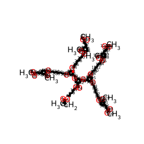 C=C(C)C(=O)OCCCCCCOC(=O)c1cc(OCc2cc(OCCCCCCCCOc3ccc(/C=C/C(=O)OC)cc3OC)cc(OCCCCCCCCOc3ccc(/C=C/C(=O)OC)cc3OC)c2)cc(OCc2cc(OCCCCCCCCOc3ccc(/C=C/C(=O)OC)cc3OC)cc(OCCCCCCCCOc3ccc(/C=C/C(=O)OC)cc3OC)c2)c1